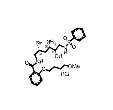 COCCCCOc1ccccc1C(=O)NC[C@@H](C[C@H](N)[C@@H](O)CNS(=O)(=O)c1ccccc1)C(C)C.Cl